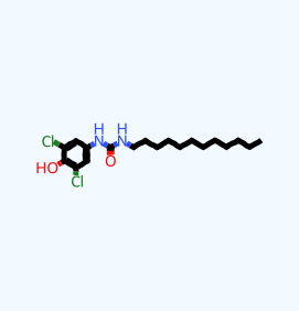 CCCCCCCCCCCCNC(=O)Nc1cc(Cl)c(O)c(Cl)c1